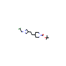 CC(C)(C)OC(=O)N1CCC(CCC2CN(CC(F)F)C2)CC1